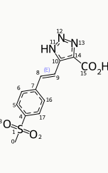 CS(=O)(=O)c1ccc(/C=C/c2[nH]nnc2C(=O)O)cc1